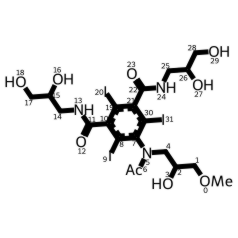 COCC(O)CN(C(C)=O)c1c(I)c(C(=O)NCC(O)CO)c(I)c(C(=O)NCC(O)CO)c1I